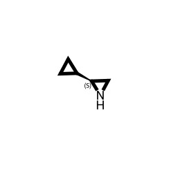 C1CC1[C@H]1CN1